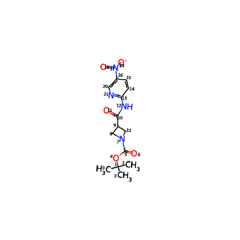 CC(C)(C)OC(=O)N1CC(C(=O)Nc2ccc([N+](=O)[O-])cn2)C1